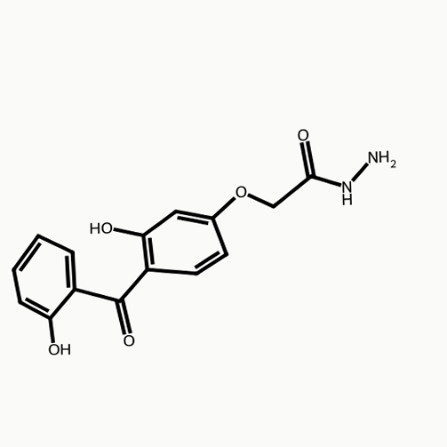 NNC(=O)COc1ccc(C(=O)c2ccccc2O)c(O)c1